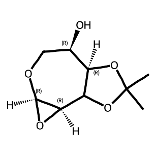 CC1(C)OC2[C@H]3O[C@H]3OC[C@@H](O)[C@H]2O1